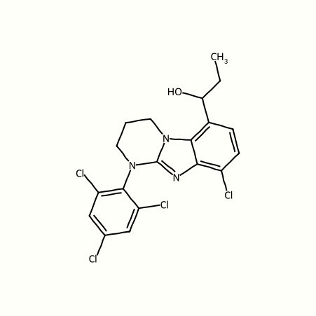 CCC(O)c1ccc(Cl)c2nc3n(c12)CCCN3c1c(Cl)cc(Cl)cc1Cl